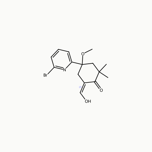 COC1(c2cccc(Br)n2)C/C(=C/O)C(=O)C(C)(C)C1